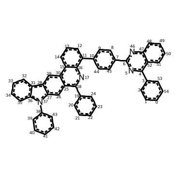 c1ccc(-c2nc(-c3ccc(-c4cccc5c4nc(-c4ccccc4)c4cc6c(cc45)c4ccccc4n6-c4ccccc4)cc3)nc3ccccc23)cc1